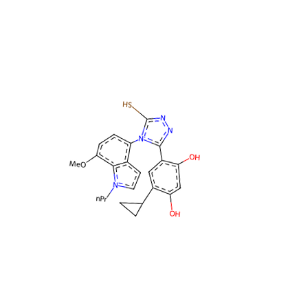 CCCn1ccc2c(-n3c(S)nnc3-c3cc(C4CC4)c(O)cc3O)ccc(OC)c21